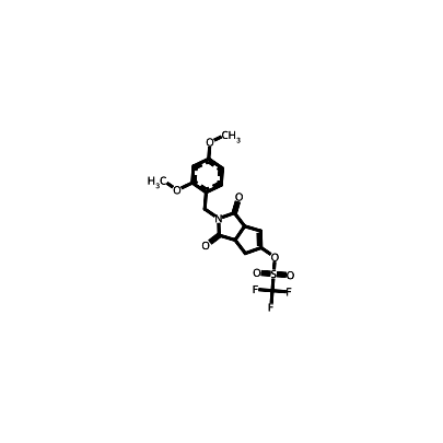 COc1ccc(CN2C(=O)C3C=C(OS(=O)(=O)C(F)(F)F)CC3C2=O)c(OC)c1